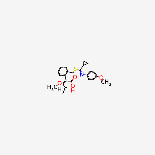 COC(C)=C(C(=O)O)c1ccccc1CSC(=Nc1ccc(OC)cc1)C1CC1